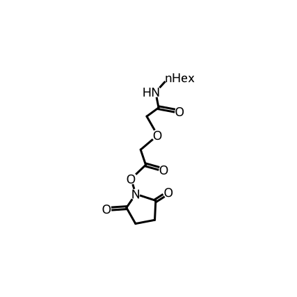 CCCCCCNC(=O)COCC(=O)ON1C(=O)CCC1=O